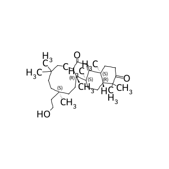 CC1(C)CCC2C(=O)C=C3[C@@]4(C)CCC(=O)C(C)(C)[C@@H]4CC[C@@]3(C)[C@]2(C)CC[C@@](C)(CCO)CC1